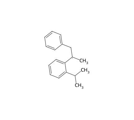 C[C](Cc1ccccc1)c1ccccc1C(C)C